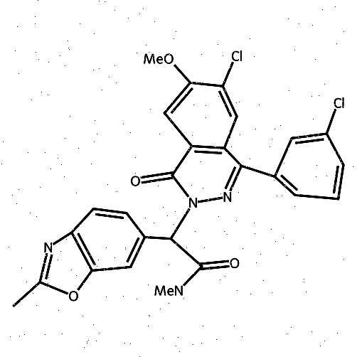 CNC(=O)C(c1ccc2nc(C)oc2c1)n1nc(-c2cccc(Cl)c2)c2cc(Cl)c(OC)cc2c1=O